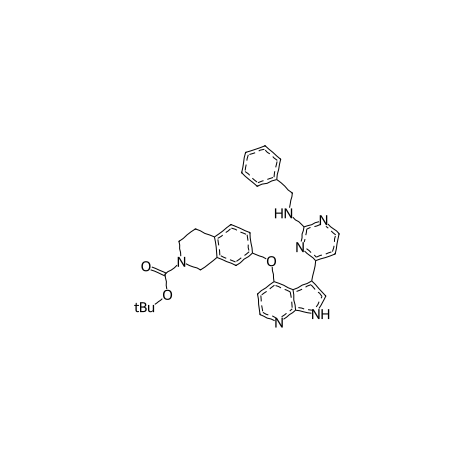 CC(C)(C)OC(=O)N1CCc2ccc(Oc3ccnc4[nH]cc(-c5ccnc(NCc6ccccc6)n5)c34)cc2C1